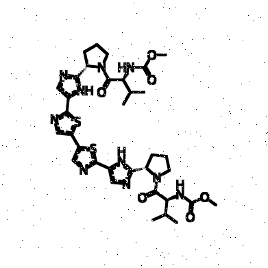 COC(=O)N[C@H](C(=O)N1CCC[C@H]1c1ncc(-c2ncc(-c3cnc(-c4cnc([C@@H]5CCCN5C(=O)[C@@H](NC(=O)OC)C(C)C)[nH]4)s3)s2)[nH]1)C(C)C